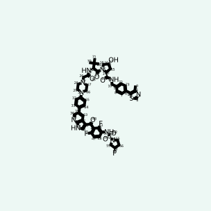 Cc1ncsc1-c1ccc(CNC(=O)[C@@H]2C[C@@H](O)CN2C(=O)[C@@H](NC(=O)CN2CCN(c3ccc(-c4cnc5[nH]cc(C(=O)c6c(F)ccc(NS(=O)(=O)N7CC[C@@H](F)C7)c6F)c5c4)cc3)CC2)C(C)(C)C)cc1